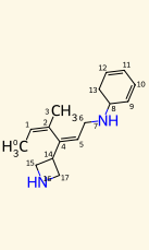 C/C=C(C)\C(=C/CNC1C=CC=CC1)C1CNC1